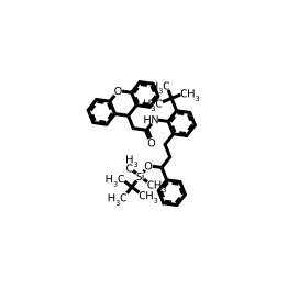 CC(C)(C)c1cccc(CCC(O[Si](C)(C)C(C)(C)C)c2ccccc2)c1NC(=O)CC1c2ccccc2Oc2ccccc21